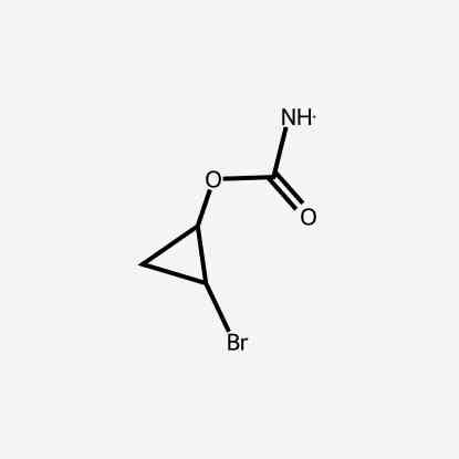 [NH]C(=O)OC1CC1Br